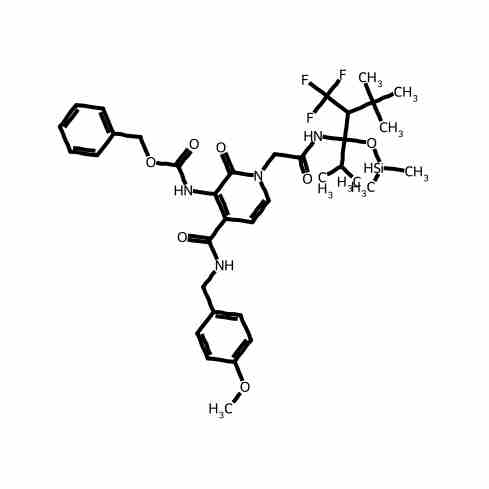 COc1ccc(CNC(=O)c2ccn(CC(=O)NC(O[SiH](C)C)(C(C)C)C(C(C)(C)C)C(F)(F)F)c(=O)c2NC(=O)OCc2ccccc2)cc1